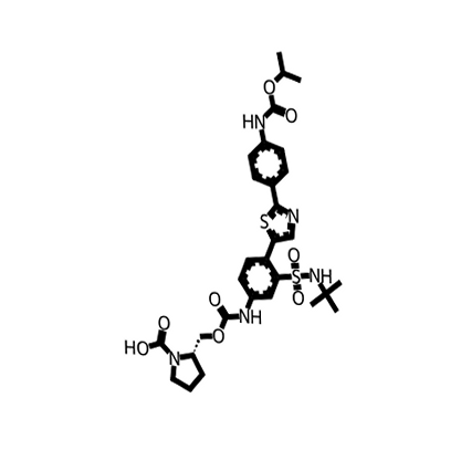 CC(C)OC(=O)Nc1ccc(-c2ncc(-c3ccc(NC(=O)OC[C@@H]4CCCN4C(=O)O)cc3S(=O)(=O)NC(C)(C)C)s2)cc1